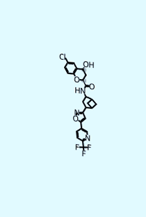 O=C(NC1CC(c2cc(-c3ccc(C(F)(F)F)nc3)on2)C2CC1C2)[C@@H]1C[C@@H](O)c2cc(Cl)ccc2O1